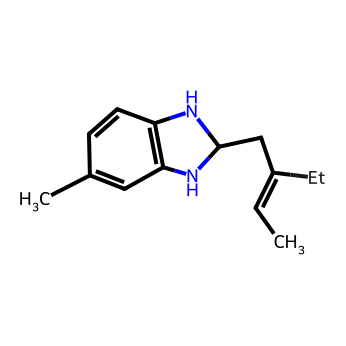 CC=C(CC)CC1Nc2ccc(C)cc2N1